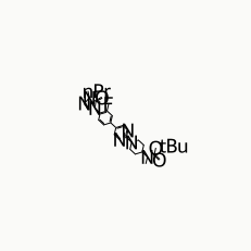 CCCn1ncn(-c2ccc(-c3cnc(N4CCC(N(C)C(=O)OC(C)(C)C)CC4)nc3)cc2F)c1=O